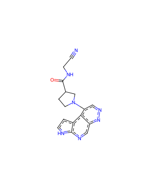 N#CCNC(=O)C1CCN(c2cnnc3cnc4[nH]ccc4c23)C1